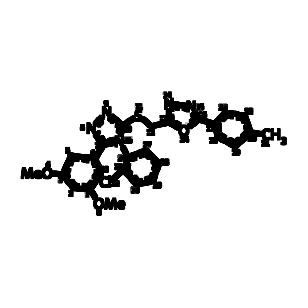 COc1cc(OC)cc(-c2nnc(SCc3nnc(-c4ccc(C)cc4)o3)n2-c2ccccc2Cl)c1